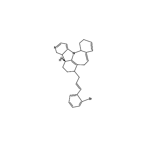 Brc1ccccc1C=CCC1CC[C@H]2C3=C1CC=C1C=CCCC1N3C1=CC=NC[C@@H]12